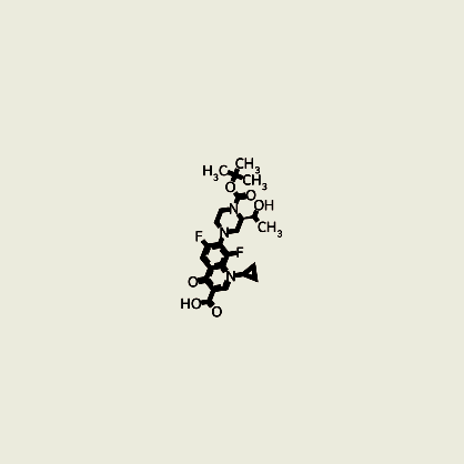 CC(O)[C@H]1CN(c2c(F)cc3c(=O)c(C(=O)O)cn(C4CC4)c3c2F)CCN1C(=O)OC(C)(C)C